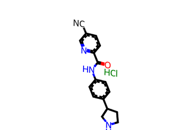 Cl.N#Cc1ccc(C(=O)Nc2ccc(C3CCNC3)cc2)nc1